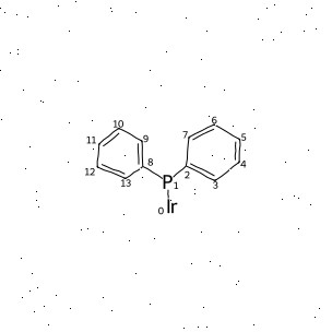 [Ir][P](c1ccccc1)c1ccccc1